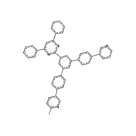 Cc1ccc(-c2ccc(-c3cc(-c4ccc(-c5cccnc5)cc4)cc(-c4nc(-c5ccccc5)cc(-c5ccccc5)n4)c3)cc2)cn1